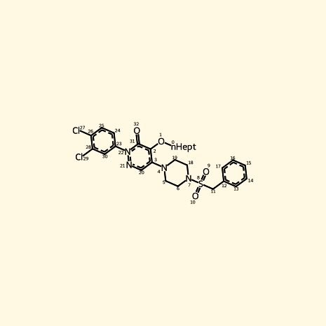 CCCCCCCOc1c(N2CCN(S(=O)(=O)Cc3ccccc3)CC2)cnn(-c2ccc(Cl)c(Cl)c2)c1=O